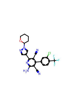 N#Cc1c(N)nc(-c2cnn(C3CCCCO3)c2)c(C#N)c1-c1ccc(C(F)(F)F)c(Cl)c1